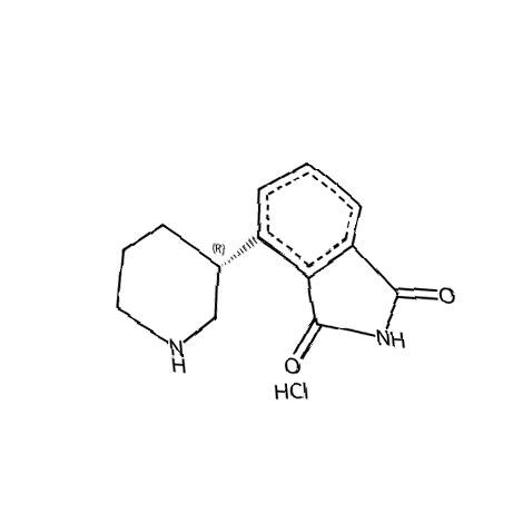 Cl.O=C1NC(=O)c2c1cccc2[C@H]1CCCNC1